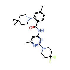 Cc1ccc(C(=O)Nc2cc(C)nc(N3CCC(F)(F)CC3)n2)c(N2CCC3(CC2)CC3)c1